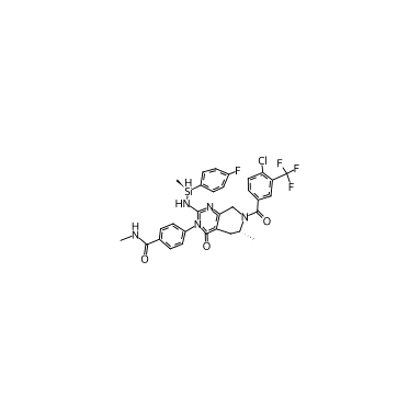 CNC(=O)c1ccc(-n2c(N[Si@@H](C)c3ccc(F)cc3)nc3c(c2=O)C[C@@H](C)N(C(=O)c2ccc(Cl)c(C(F)(F)F)c2)C3)cc1